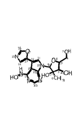 CC1(O)C(O)C(CO)OC1n1cc(-c2cnco2)c2c(NO)ncnc21